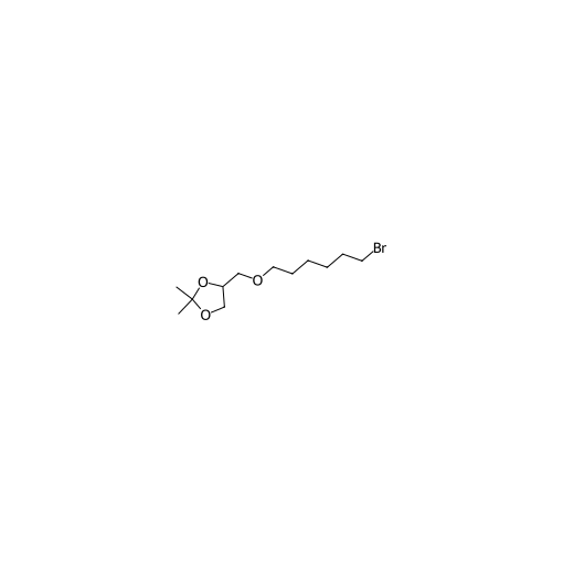 CC1(C)OCC(COCCCCCCBr)O1